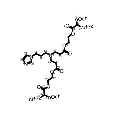 CCCCCCCCC(CCCCCC)C(=O)OCCOC(=O)CCN(CCCn1ccnc1)CCC(=O)OCCOC(=O)C(CCCCCC)CCCCCCCC